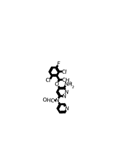 CC(Oc1cc(N(C=O)c2cccnc2)nnc1N)c1c(Cl)ccc(F)c1Cl